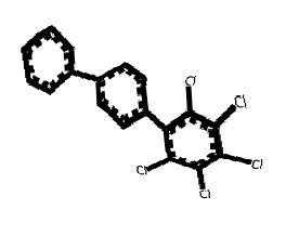 Clc1c(Cl)c(Cl)c(-c2ccc(-c3ccccc3)cc2)c(Cl)c1Cl